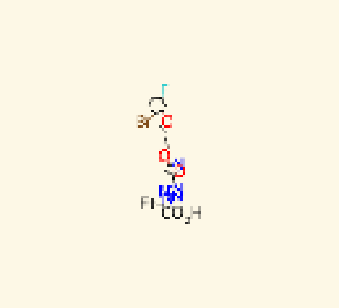 CCC(C(=O)O)n1nnc(-c2cc(OCCCCOc3cc(F)ccc3Br)no2)n1